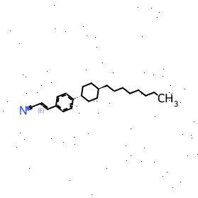 CCCCCCCC[C@H]1CC[C@H](c2ccc(/C=C/C#N)cc2)CC1